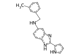 Cc1cccc(CNc2ccc3[nH]c(-c4ccc[nH]4)nc3c2)c1